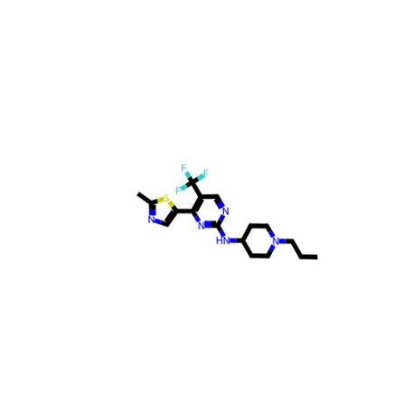 CCCN1CCC(Nc2ncc(C(F)(F)F)c(-c3cnc(C)s3)n2)CC1